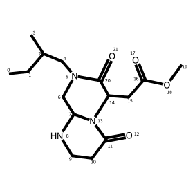 CCC(C)CN1CC2NCCC(=O)N2C(CC(=O)OC)C1=O